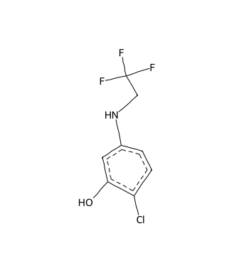 Oc1cc(NCC(F)(F)F)ccc1Cl